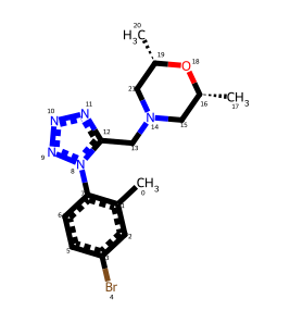 Cc1cc(Br)ccc1-n1nnnc1CN1C[C@@H](C)O[C@@H](C)C1